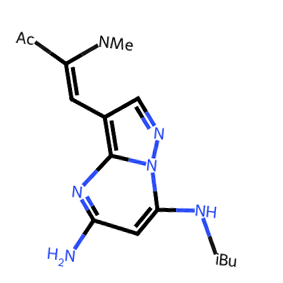 CCC(C)Nc1cc(N)nc2c(/C=C(\NC)C(C)=O)cnn12